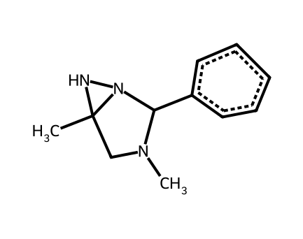 CN1CC2(C)NN2C1c1ccccc1